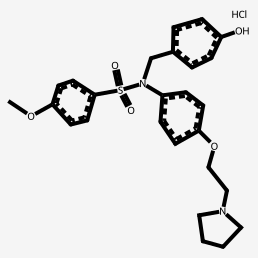 COc1ccc(S(=O)(=O)N(Cc2ccc(O)cc2)c2ccc(OCCN3CCCC3)cc2)cc1.Cl